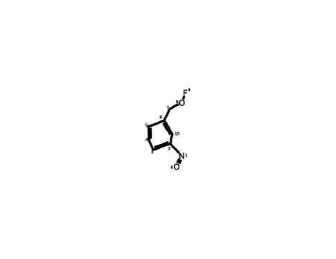 O=Nc1cccc(COF)c1